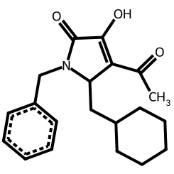 CC(=O)C1=C(O)C(=O)N(Cc2ccccc2)C1CC1CCCCC1